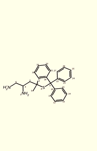 CC(C)(CC(N)CN)SC(c1ccccc1)(c1ccccc1)c1ccccc1